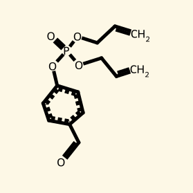 C=CCOP(=O)(OCC=C)Oc1ccc(C=O)cc1